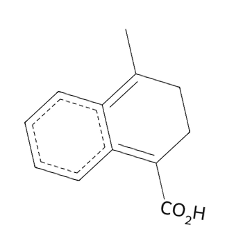 CC1=c2ccccc2=C(C(=O)O)CC1